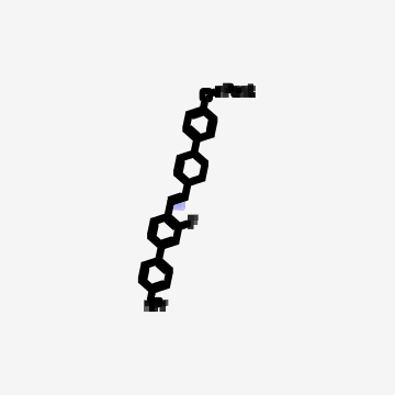 CCCCCOc1ccc(C2C=CC(/C=C/c3ccc(-c4ccc(CCC)cc4)cc3F)CC2)cc1